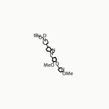 COc1ccc(COc2ccc(Cn3cnc4cc(C5=CCN(C(=O)OC(C)(C)C)CC5)ccc43)cc2OC)cn1